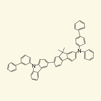 CC1(C)c2cc(-c3ccc4c(c3)c3ccccc3n4-c3cccc(-c4ccccc4)c3)ccc2-c2ccc(N(c3ccccc3)c3ccc(-c4ccccc4)cc3)cc21